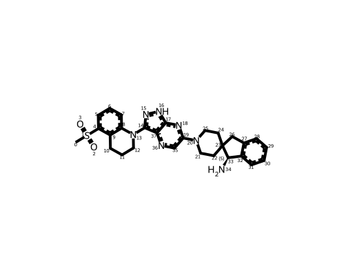 CS(=O)(=O)c1cccc2c1CCCN2c1n[nH]c2nc(N3CCC4(CC3)Cc3ccccc3[C@H]4N)[c]nc12